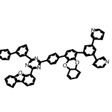 C1=CC2Oc3c(-c4ccc(-c5nc(-c6cccc(-c7ccccc7)c6)nc(-c6cccc7c6oc6ccccc67)n5)cc4)ccc(-c4cc(-c5cccnc5)cc(-c5cccnc5)c4)c3OC2C=C1